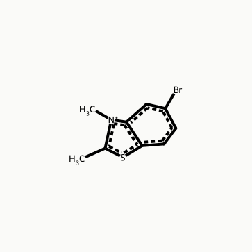 Cc1sc2ccc(Br)cc2[n+]1C